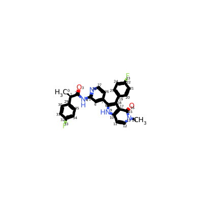 C[C@@H](C(=O)Nc1cc(-c2[nH]c3ccn(C)c(=O)c3c2-c2ccc(F)cc2)ccn1)c1ccc(F)cc1